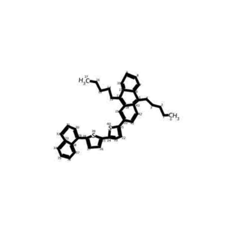 CCCCCc1c2ccccc2c(CCCCC)c2cc(-c3ccc(-c4ccc(-c5cccc6ccccc56)s4)s3)ccc12